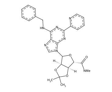 CNC(=O)[C@H]1OC(n2cnc3c(NCc4ccccc4)nc(-c4ccccn4)nc32)[C@@H]2OC(C)(C)O[C@H]12